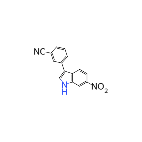 N#Cc1cccc(-c2c[nH]c3cc([N+](=O)[O-])ccc23)c1